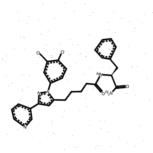 NC(=O)[C@H](Cc1ccccc1)NC(=O)CCCCc1cc(-c2cccnc2)nn1-c1ccc(Cl)c(Cl)c1